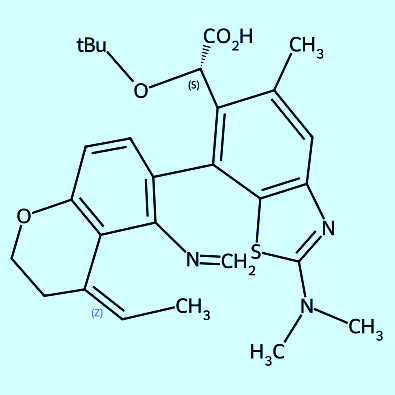 C=Nc1c(-c2c([C@H](OC(C)(C)C)C(=O)O)c(C)cc3nc(N(C)C)sc23)ccc2c1/C(=C\C)CCO2